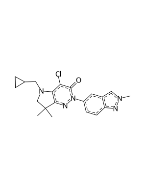 Cn1cc2cc(-n3nc4c(c(Cl)c3=O)N(CC3CC3)CC4(C)C)ccc2n1